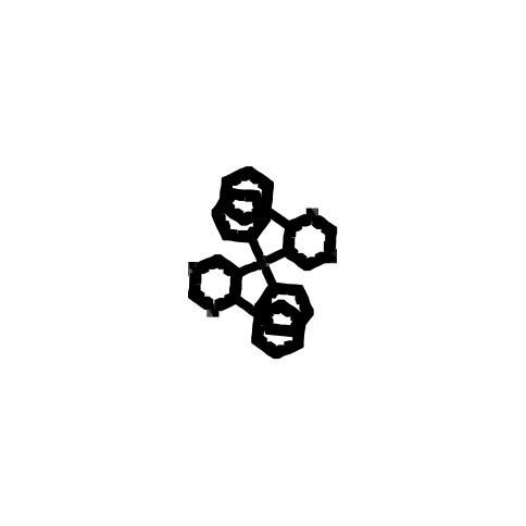 c1ccc(-c2ncncc2[Si](c2ccccc2)(c2ccccc2)c2cncnc2-c2ccccc2)cc1